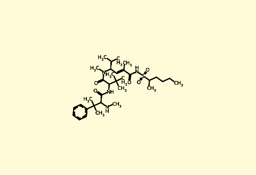 CCCCC(C)S(=O)(=O)NC(=O)C(C)=C[C@H](C(C)C)N(C)C(=O)C(NC(=O)C(NC)C(C)(C)c1ccccc1)C(C)(C)C